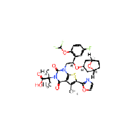 Cc1c(-c2ncco2)sc2c1c(=O)n(C(C)(C)C(=O)O)c(=O)n2C[C@H](O[C@@H]1C[C@H]2CC[C@@H](C1)O2)c1cc(F)ccc1OC(F)F